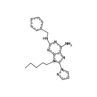 CCCCCn1c(-n2cccn2)nc2c(N)nc(NCc3ccccc3)nc21